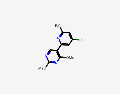 COc1ncc(-c2cc(Cl)cc(C(F)(F)F)n2)c(OC)n1